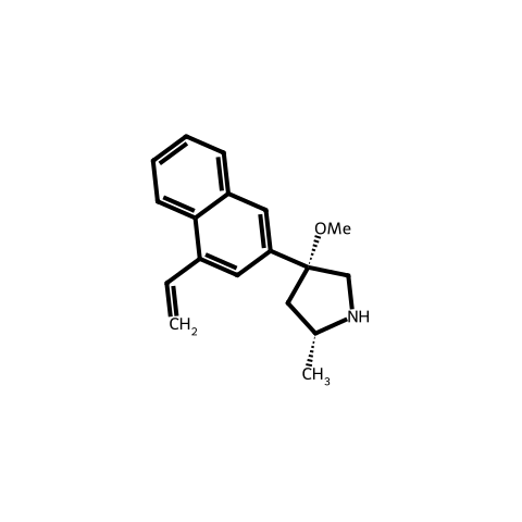 C=Cc1cc([C@@]2(OC)CN[C@H](C)C2)cc2ccccc12